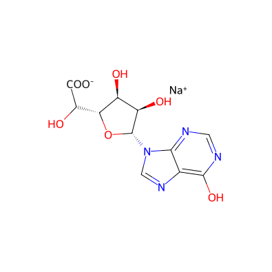 O=C([O-])C(O)[C@H]1O[C@@H](n2cnc3c(O)ncnc32)[C@H](O)[C@@H]1O.[Na+]